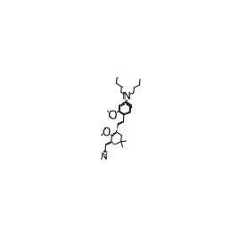 CCCCN(CCCC)c1ccc(C=CC2=C(OC)C(=CC#N)CC(C)(C)C2)c(OC)c1